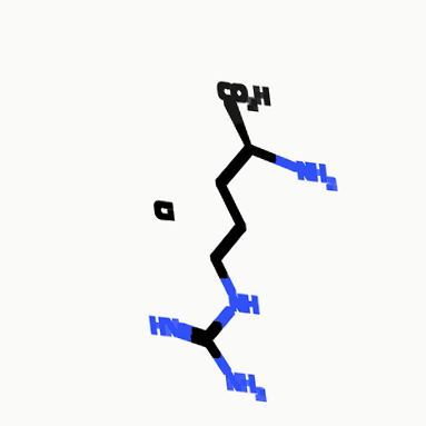 N=C(N)NCCC[C@H](N)C(=O)O.[C]